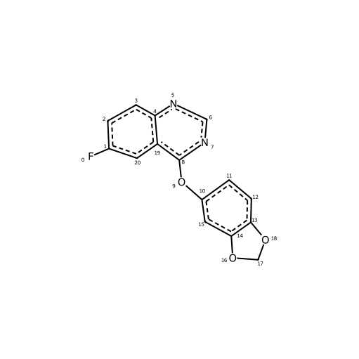 Fc1ccc2ncnc(Oc3ccc4c(c3)OCO4)c2c1